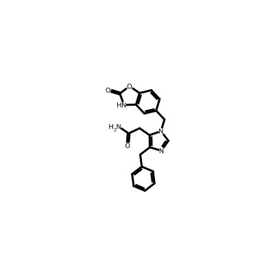 NC(=O)Cc1c(Cc2ccccc2)ncn1Cc1ccc2oc(=O)[nH]c2c1